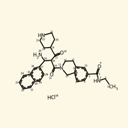 CCNC(=O)c1ccc2c(c1)CCN(C(=O)C(C(=O)C1CCNCC1)C(N)c1ccc3ccccc3c1)C2.Cl